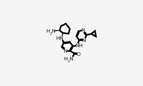 NC(=O)c1ncc(N[C@@H]2CCCC[C@@H]2N)cc1Nc1ccnc(C2CC2)n1